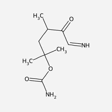 CC(CC(C)(C)OC(N)=O)C(=O)C=N